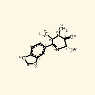 CC(C)[C@@H]1N=C(c2ccc3c(c2)OCO3)C(C)N(C)C1=O